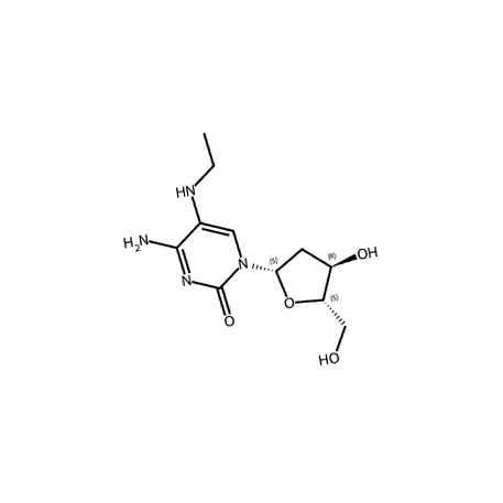 CCNc1cn([C@@H]2C[C@@H](O)[C@H](CO)O2)c(=O)nc1N